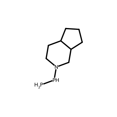 PPN1CCC2CCCC2C1